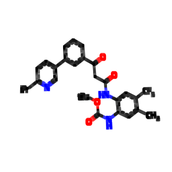 Cc1cc(NC(=O)OC(C)(C)C)c(NC(=O)CC(=O)c2cccc(-c3ccc(C(C)C)nc3)c2)cc1C(F)(F)F